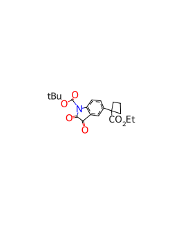 CCOC(=O)C1(c2ccc3c(c2)C(=O)C(=O)N3C(=O)OC(C)(C)C)CCC1